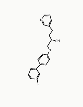 O[C@H](CCc1cccnc1)COc1ccc(-c2cccc(F)c2)cc1